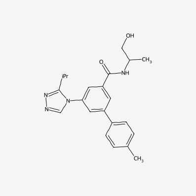 Cc1ccc(-c2cc(C(=O)NC(C)CO)cc(-n3cnnc3C(C)C)c2)cc1